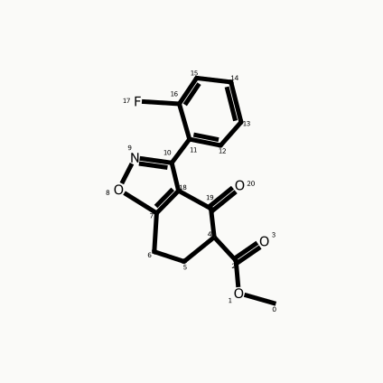 COC(=O)C1CCc2onc(-c3ccccc3F)c2C1=O